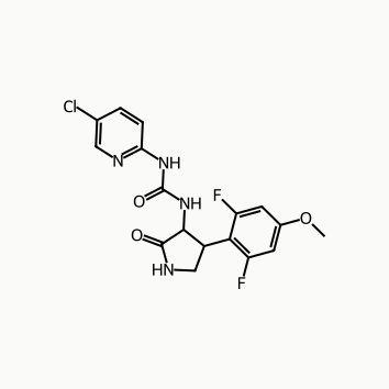 COc1cc(F)c(C2CNC(=O)C2NC(=O)Nc2ccc(Cl)cn2)c(F)c1